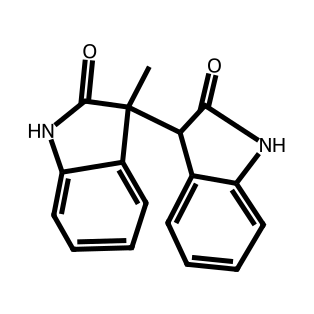 CC1(C2C(=O)Nc3ccccc32)C(=O)Nc2ccccc21